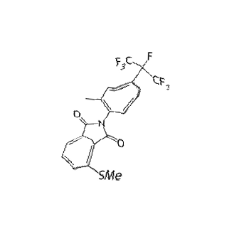 CSc1cccc2c1C(=O)N(c1ccc(C(F)(C(F)(F)F)C(F)(F)F)cc1C)C2=O